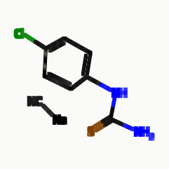 N#[C][Na].NC(=S)Nc1ccc(Cl)cc1